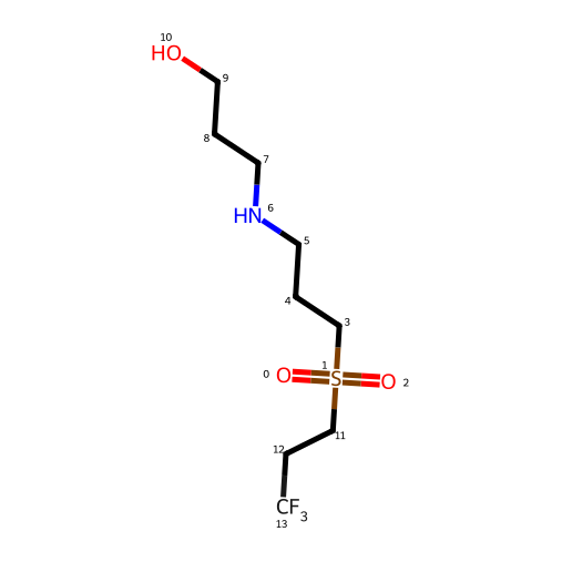 O=S(=O)(CCCNCCCO)CCC(F)(F)F